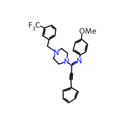 COc1ccc(N=C(C#Cc2ccccc2)N2CCN(Cc3cccc(C(F)(F)F)c3)CC2)cc1